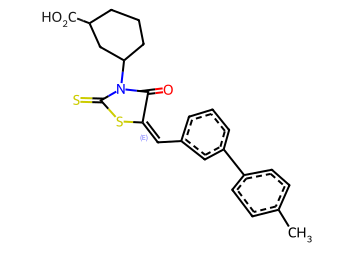 Cc1ccc(-c2cccc(/C=C3/SC(=S)N(C4CCCC(C(=O)O)C4)C3=O)c2)cc1